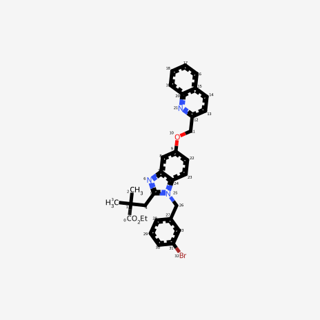 CCOC(=O)C(C)(C)Cc1nc2cc(OCc3ccc4ccccc4n3)ccc2n1Cc1cccc(Br)c1